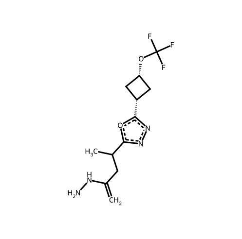 C=C(CC(C)c1nnc([C@H]2C[C@@H](OC(F)(F)F)C2)o1)NN